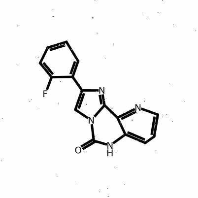 O=c1[nH]c2cccnc2c2nc(-c3ccccc3F)cn12